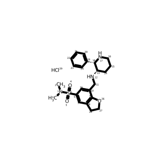 CN(C)S(=O)(=O)c1cc2c(c(CN[C@H]3CCCN[C@H]3c3ccccc3)c1)OCC2.Cl